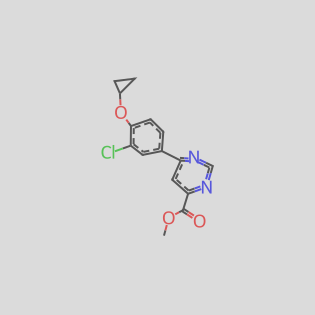 COC(=O)c1cc(-c2ccc(OC3CC3)c(Cl)c2)ncn1